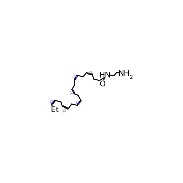 CC/C=C\C/C=C\C/C=C\C/C=C\C/C=C\C/C=C\CC1OC1NCCN